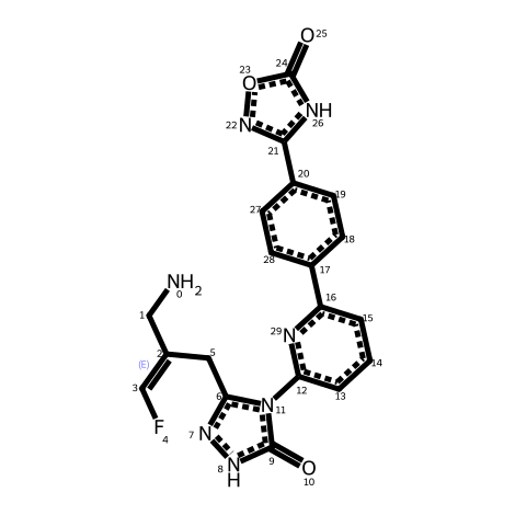 NC/C(=C/F)Cc1n[nH]c(=O)n1-c1cccc(-c2ccc(-c3noc(=O)[nH]3)cc2)n1